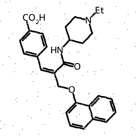 CCN1CCC(NC(=O)C(=Cc2ccc(C(=O)O)cc2)COc2cccc3ccccc23)CC1